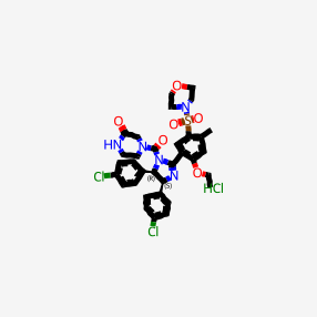 CCOc1cc(C)c(S(=O)(=O)N2CCOCC2)cc1C1=N[C@@H](c2ccc(Cl)cc2)[C@@H](c2ccc(Cl)cc2)N1C(=O)N1CCNC(=O)C1.Cl